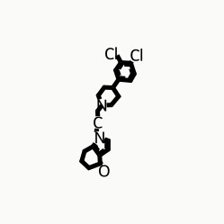 O=C1CCCc2c1ccn2CCCN1CCC(c2ccc(Cl)c(Cl)c2)CC1